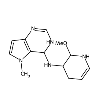 COC1NC=CCC1NC1NC=Nc2ccn(C)c21